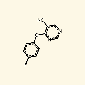 N#Cc1cncnc1Oc1ccc(F)cc1